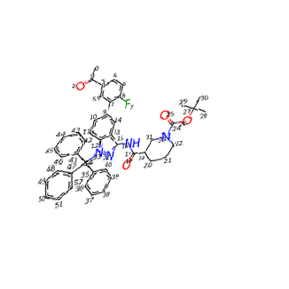 CC(=O)c1ccc(F)c(-c2ccc3c(c2)c(NC(=O)C2CCCN(C(=O)OC(C)(C)C)C2)nn3C(c2ccccc2)(c2ccccc2)c2ccccc2)c1